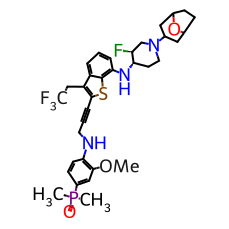 COc1cc(P(C)(C)=O)ccc1NCC#Cc1sc2c(N[C@@H]3CCN(C4CC5CCC(C4)O5)C[C@@H]3F)cccc2c1CC(F)(F)F